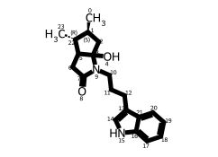 C[C@H]1CC2(O)C(CC(=O)N2CCCc2c[nH]c3ccccc23)[C@@H]1C